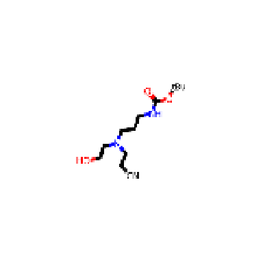 CC(C)(C)OC(=O)NCCCN(CCO)CCC#N